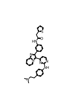 CN(C)CCc1ccc(Nc2nccc(-c3c(-c4cccc(NC(=O)Cc5cccs5)c4)nc4ccccn34)n2)cc1